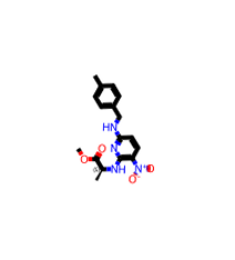 COC(=O)[C@H](C)Nc1nc(NCc2ccc(C)cc2)ccc1[N+](=O)[O-]